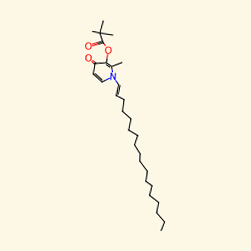 CCCCCCCCCCCCCCCCC=Cn1ccc(=O)c(OC(=O)C(C)(C)C)c1C